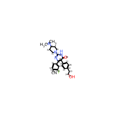 CN(C)C1CCN(c2nc(-c3ccc(C#N)c(F)c3)c(-c3ccc(CCO)cc3)c(=O)[nH]2)CC1